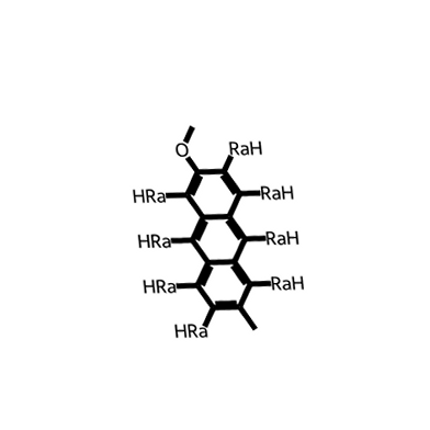 COc1[c]([RaH])[c]([RaH])c2[c]([RaH])c3[c]([RaH])c(C)[c]([RaH])[c]([RaH])c3[c]([RaH])c2[c]1[RaH]